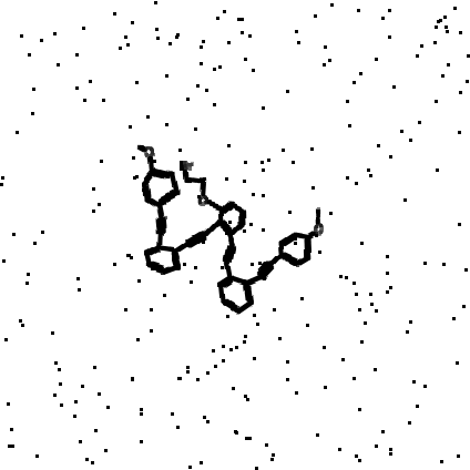 COc1ccc(C#Cc2ccccc2C#Cc2cccc(OCCBr)c2C#Cc2ccccc2C#Cc2ccc(OC)cc2)cc1